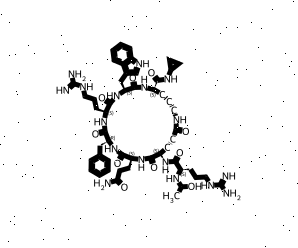 CC(O)N[C@@H](CCCNC(=N)N)C(=O)N[C@H]1CCC(=O)NCCC[C@@H](C(=O)NC2CC2)NC(=O)[C@H](Cc2c[nH]c3ccccc23)NC(=O)[C@H](CCCNC(=N)N)NC(=O)[C@@H](Cc2ccccc2)NC(=O)[C@H](CCC(N)=O)NC1=O